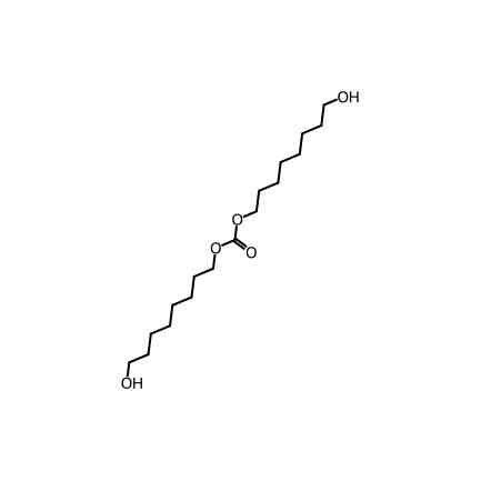 O=C(OCCCCCCCCO)OCCCCCCCCO